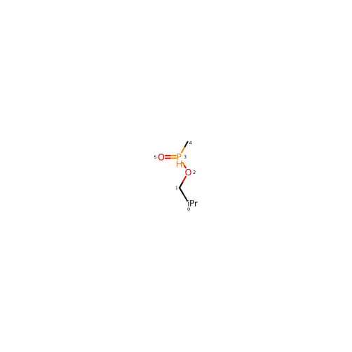 CC(C)CO[PH](C)=O